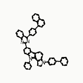 c1ccc(-c2ccc(-n3ccc4c3ccc3c5cc(-c6nc(-c7ccc(-c8cccc9ccccc89)cc7)c7ccccc7n6)ccc5n(-c5ccccc5)c34)cc2)cc1